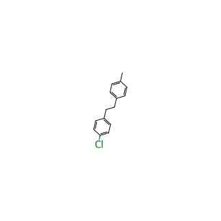 Cc1ccc(CCc2ccc(Cl)cc2)cc1